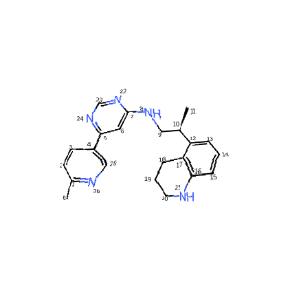 Cc1ccc(-c2cc(NC[C@@H](C)c3cccc4c3CCCN4)ncn2)cn1